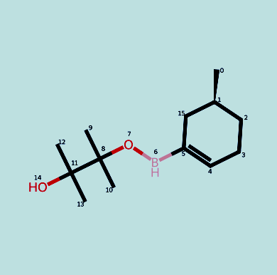 C[C@H]1CCC=C(BOC(C)(C)C(C)(C)O)C1